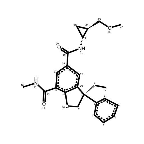 CC[C@]1(c2ccccc2)COc2c(C(=O)NC)cc(C(=O)N[C@@H]3C[C@H]3COC)cc21